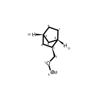 CCC(C)OC[C@H]1C[C@@H]2CC[C@H]1C2